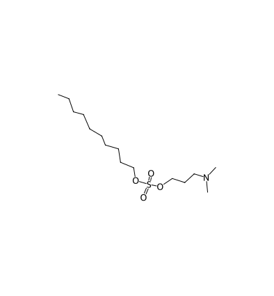 CCCCCCCCCCOS(=O)(=O)OCCCN(C)C